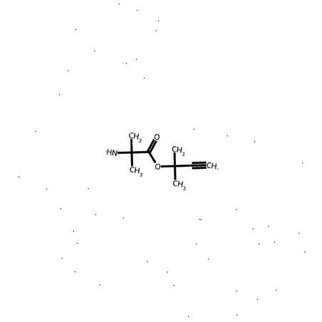 C#CC(C)(C)OC(=O)C(C)(C)[NH]